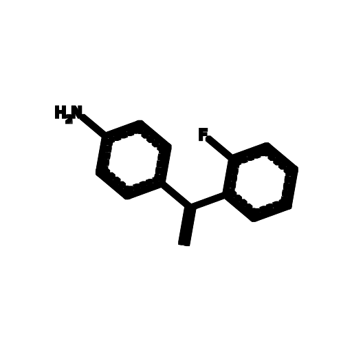 C=C(c1ccc(N)cc1)c1ccccc1F